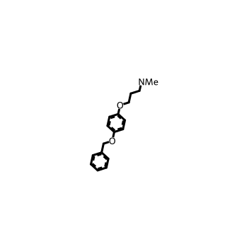 CNCCCOc1ccc(OCc2ccccc2)cc1